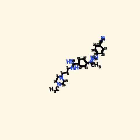 CN1CCN(CCCNC(=N)c2ccc(N(C)/N=N/c3ccc(C#N)cc3)cc2)CC1